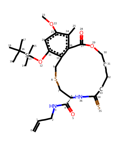 C=CCNC(=O)[C@@H]1CSCc2c(O[Si](C)(C)C(C)(C)C)cc(OC)c(C)c2C(=O)OCCCCC(=S)N1